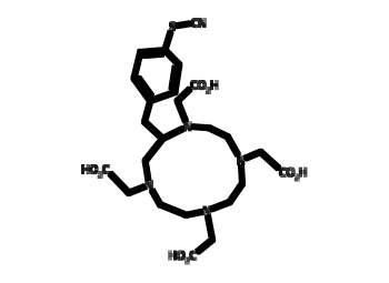 N#CSc1ccc(CC2CN(CC(=O)O)CCN(CC(=O)O)CCN(CC(=O)O)CCN2CC(=O)O)cc1